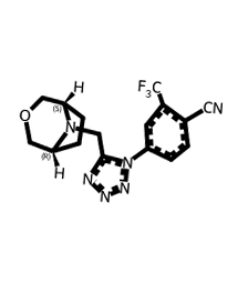 N#Cc1ccc(-n2nnnc2CN2[C@@H]3CC[C@H]2COC3)cc1C(F)(F)F